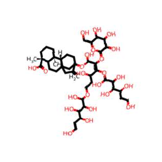 C=C1CC23CCC4[C@](C)(C(=O)O)CCC[C@@]4(C)[C@@H]2CCC1(OC(O)/C(OC1OC(CO)C(O)C(O)C1O)=C(/OC(O)C(O)C(O)C(O)CCO)C(O)CCOC(O)C(O)C(O)C(O)CCO)C3